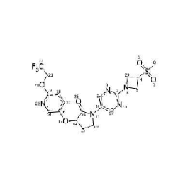 CS(=O)(=O)C1CN(c2ncc(N3CC[C@@H](Oc4ccc(OCC(F)(F)F)nc4)C3=O)cn2)C1